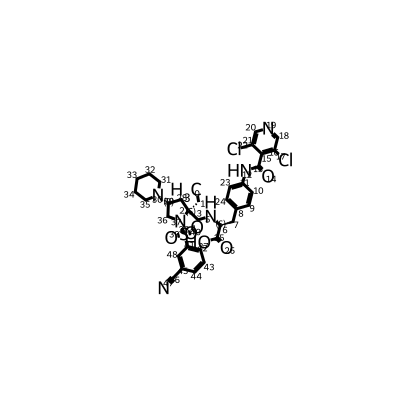 CC[C@@]1(C(=O)N[C@@H](Cc2ccc(NC(=O)c3c(Cl)cncc3Cl)cc2)C(=O)O)C[C@@H](N2CCCCC2)CN1S(=O)(=O)c1cccc(C#N)c1